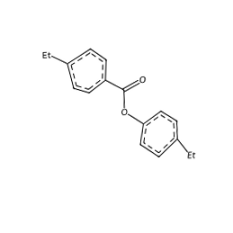 CCc1ccc(OC(=O)c2ccc(CC)cc2)cc1